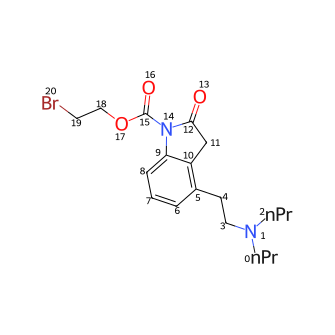 CCCN(CCC)CCc1cccc2c1CC(=O)N2C(=O)OCCBr